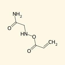 C=CC(=O)ONCC(N)=O